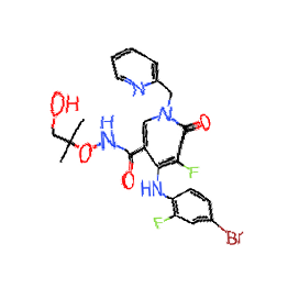 CC(C)(CO)ONC(=O)c1cn(Cc2ccccn2)c(=O)c(F)c1Nc1ccc(Br)cc1F